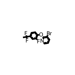 CC(F)(F)c1ccc(Oc2ncccc2Br)c(F)c1